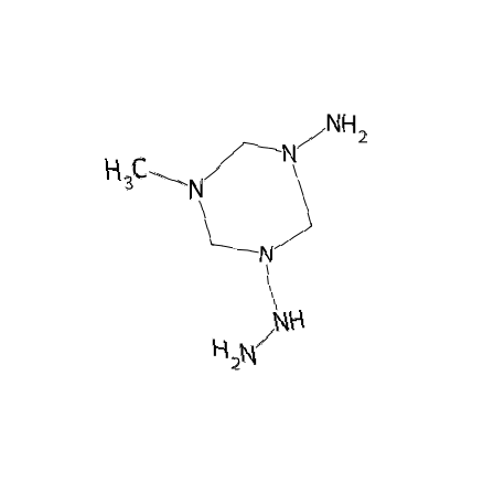 CN1CN(N)CN(NN)C1